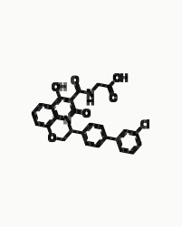 O=C(O)CNC(=O)c1c(O)c2cccc3c2n(c1=O)C(c1ccc(-c2cccc(Cl)c2)cc1)CO3